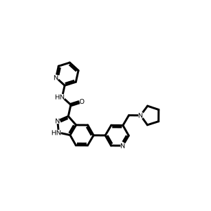 O=C(Nc1ccccn1)c1n[nH]c2ccc(-c3cncc(CN4CCCC4)c3)cc12